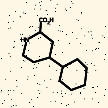 O=C(O)C1CC(C2CCCCC2)CCN1